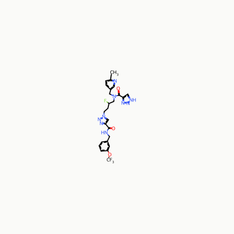 Cc1ccc(CN(CC(F)CCn2cc(C(=O)NCc3cccc(OC(F)(F)F)c3)nn2)C(=O)c2c[nH]nn2)cn1